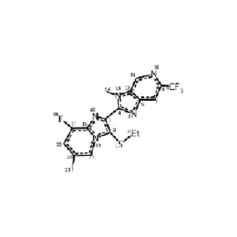 CCSc1c(-c2nc3cc(C(F)(F)F)ncc3n2C)nc2c(F)cc(I)cn12